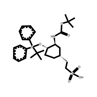 CC(C)(C)OC(=O)N[C@H]1C[C@H](CCS(=O)(=O)O)CC[C@@H]1O[Si](c1ccccc1)(c1ccccc1)C(C)(C)C